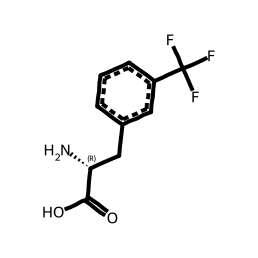 N[C@H](Cc1cccc(C(F)(F)F)c1)C(=O)O